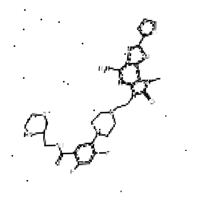 Cn1c(=O)n(CCN2CCN(c3cc(C(=O)NCC4COCCN4)c(F)cc3F)CC2)c2nc(N)n3nc(-c4ccco4)nc3c21